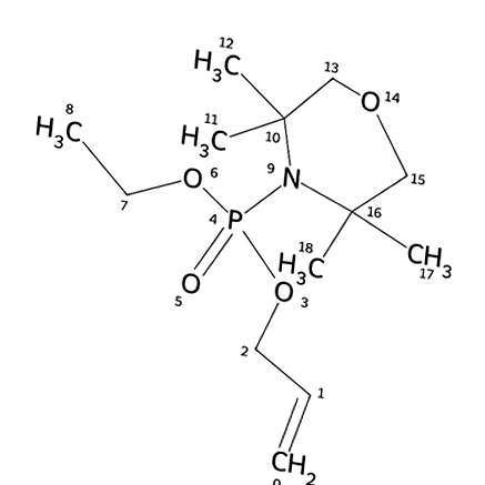 C=CCOP(=O)(OCC)N1C(C)(C)COCC1(C)C